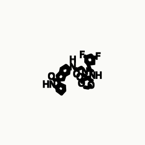 O=C(CN1C(=O)C2(COCCOC2)NCC1c1cc(F)cc(F)c1)Nc1ccc2c(c1)CC1(C2)C(=O)Nc2ccccc21